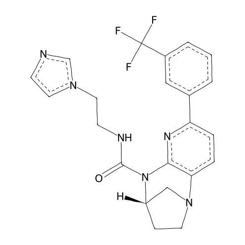 O=C(NCCn1ccnc1)N1c2nc(-c3cccc(C(F)(F)F)c3)ccc2N2CC[C@H]1C2